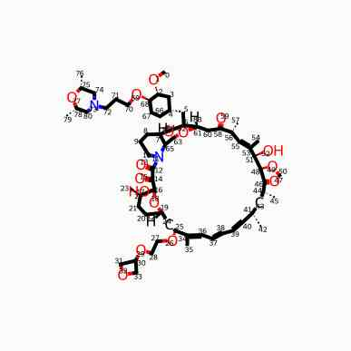 CO[C@@H]1C[C@H](CC2[C@H]3CCCN4C(=O)C(=O)[C@]5(O)O[C@@H](CC[C@H]5C)C[C@H](OCCOC5COC5)/C(C)=C/C=C/C=C/[C@@H](C)C[C@@H](C)C(=O)[C@H](OC)[C@H](O)/C(C)=C/[C@@H](C)C(=O)C[C@@H]2OC(=O)C34)CC[C@H]1OCCCN1C[C@@H](C)O[C@@H](C)C1